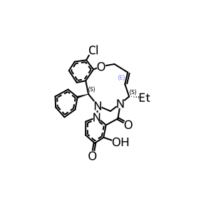 CC[C@H]1/C=C/COc2c(Cl)cccc2[C@H](c2ccccc2)N2CN1C(=O)c1c(O)c(=O)ccn12